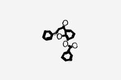 O=C(Oc1cccc2c1O[C@@H](c1ccccc1)CC2=O)c1ccccc1